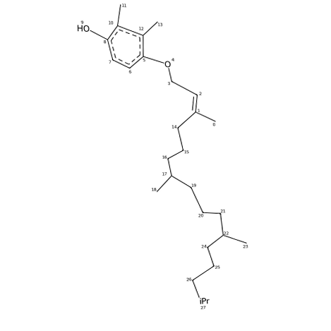 CC(=CCOc1ccc(O)c(C)c1C)CCCC(C)CCCC(C)CCCC(C)C